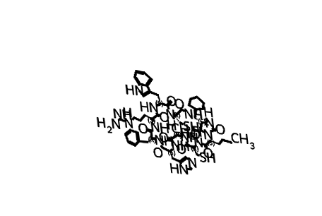 CCCC[C@@H](C(=O)N[C@@H](CS)C(=O)N[C@H](C)C(=O)N[C@@H](Cc1cnc[nH]1)C(=O)N[C@H](Cc1ccccc1)C(=O)N[C@@H](CCCNC(=N)N)C(=O)N[C@@H](Cc1c[nH]c2ccccc12)C(=O)N[C@@H](CS)C(N)=O)N1C(=O)N[C@@H](CC2CCCCC2)C1O